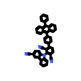 N#Cc1ccc2c(c1)c1ccccc1n2-c1c(C#N)ccc(-c2ccc(-c3c4ccccc4c(-c4ccccc4)c4ccccc34)cc2)c1C#N